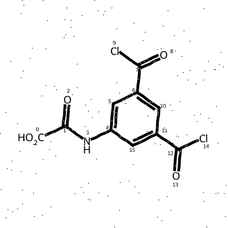 O=C(O)C(=O)Nc1cc(C(=O)Cl)cc(C(=O)Cl)c1